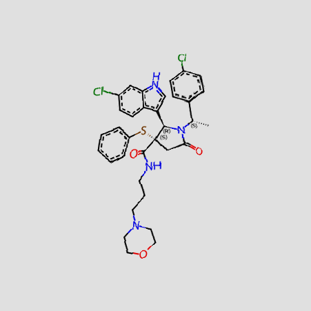 C[C@@H](c1ccc(Cl)cc1)N1C(=O)C[C@@](Sc2ccccc2)(C(=O)NCCCN2CCOCC2)[C@H]1c1c[nH]c2cc(Cl)ccc12